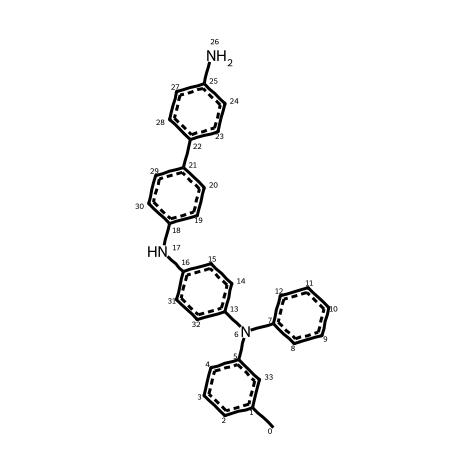 Cc1cccc(N(c2ccccc2)c2ccc(Nc3ccc(-c4ccc(N)cc4)cc3)cc2)c1